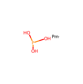 OP(O)O.[Pm]